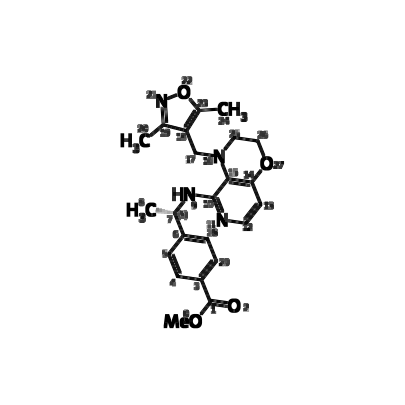 COC(=O)c1ccc([C@H](C)Nc2nccc3c2N(Cc2c(C)noc2C)CCO3)cc1